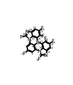 Fc1cc2c3c(c1)-n1c(F)nc4cc(F)c(F)c(c41)B3c1c(F)c(F)cc3nc(F)n-2c13